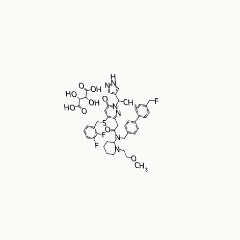 COCCN1CCCCC1N(Cc1ccc(-c2ccc(CF)cc2)cc1)C(=O)Cc1nn(C(C)c2cn[nH]c2)c(=O)cc1SCc1cccc(F)c1F.O=C(O)C(O)C(O)C(=O)O